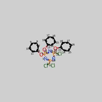 ClP1(Cl)=NP(Oc2ccccc2)(Oc2ccccc2)=NP(Cl)(Oc2ccccc2)=N1